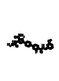 COc1cccc(CNC(=O)c2ccc(-c3ccc(-n4cc(NC(N)=O)c(C(N)=O)n4)cc3)cc2F)c1